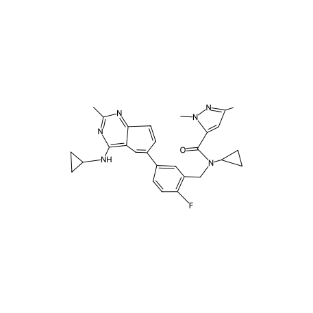 Cc1cc(C(=O)N(Cc2cc(-c3ccc4nc(C)nc(NC5CC5)c4c3)ccc2F)C2CC2)n(C)n1